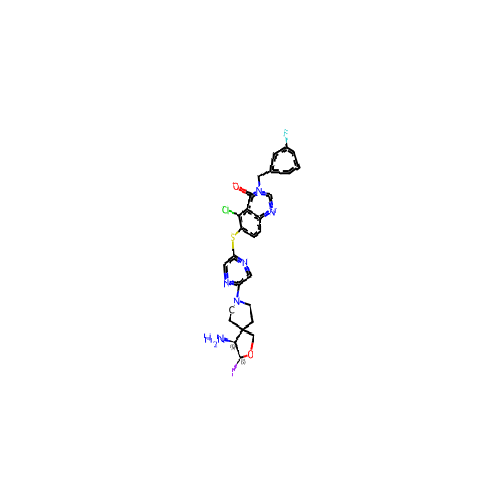 N[C@@H]1[C@H](I)OCC12CCN(c1cnc(Sc3ccc4ncn(Cc5cccc(F)c5)c(=O)c4c3Cl)cn1)CC2